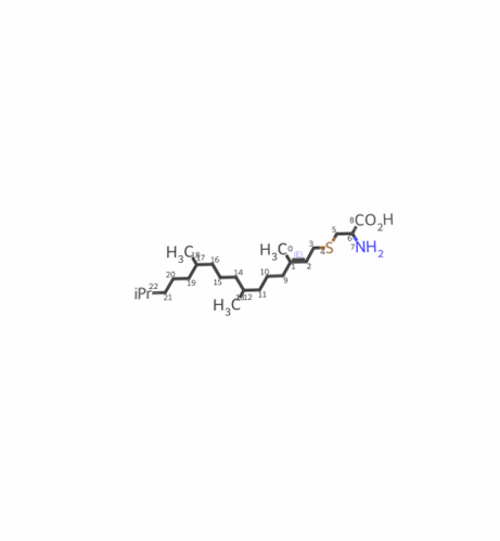 C/C(=C\CSCC(N)C(=O)O)CCCC(C)CCCC(C)CCCC(C)C